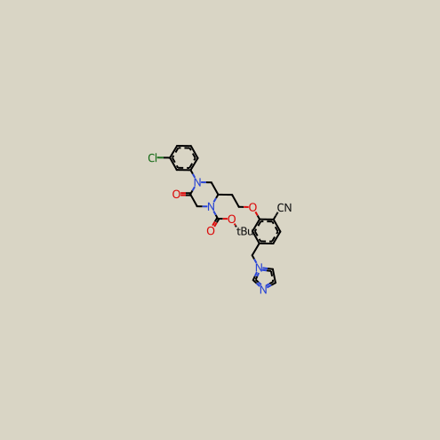 CC(C)(C)OC(=O)N1CC(=O)N(c2cccc(Cl)c2)CC1CCOc1cc(Cn2ccnc2)ccc1C#N